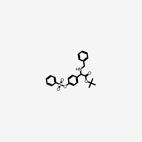 CC(C)(C)OC(=O)C(NCc1ccccc1)c1ccc(OS(=O)(=O)c2ccccc2)cc1